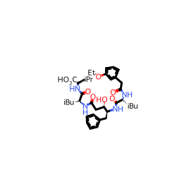 CCOc1cccc(CC(=O)N[C@H](C(=O)N[C@@H](Cc2ccccc2)[C@@H](O)CC(=O)N[C@H](C(=O)NC(C(=O)O)C(C)C)[C@@H](C)CC)[C@@H](C)CC)c1